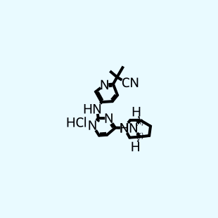 CC(C)(C#N)c1ccc(Nc2nccc(N3C[C@H]4CC[C@@H](C3)N4)n2)cn1.Cl